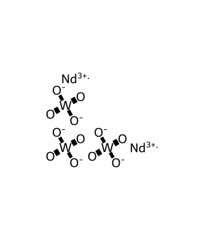 [Nd+3].[Nd+3].[O]=[W](=[O])([O-])[O-].[O]=[W](=[O])([O-])[O-].[O]=[W](=[O])([O-])[O-]